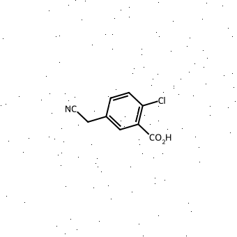 N#CCc1ccc(Cl)c(C(=O)O)c1